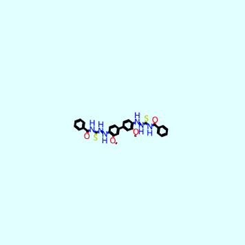 COc1cc(-c2ccc(NNC(=S)NC(=O)c3ccccc3)c(OC)c2)ccc1NNC(=S)NC(=O)c1ccccc1